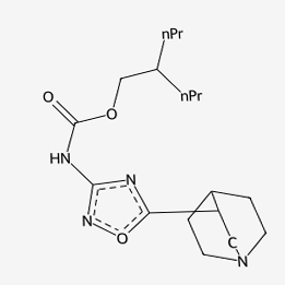 CCCC(CCC)COC(=O)Nc1noc(C2CN3CCC2CC3)n1